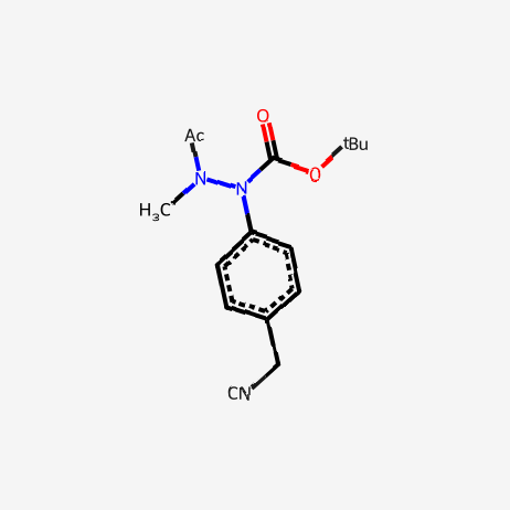 [C-]#[N+]Cc1ccc(N(C(=O)OC(C)(C)C)N(C)C(C)=O)cc1